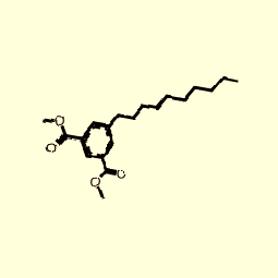 CCCCCCCCCCc1cc(C(=O)OC)cc(C(=O)OC)c1